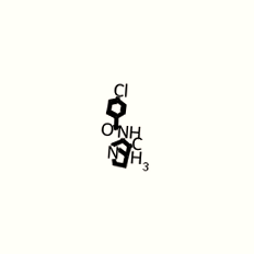 CC1C2CCN(C2)CC1NC(=O)c1ccc(Cl)cc1